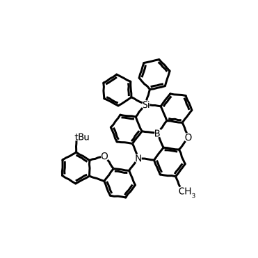 Cc1cc2c3c(c1)N(c1cccc4c1oc1c(C(C)(C)C)cccc14)c1cccc4c1B3c1c(cccc1[Si]4(c1ccccc1)c1ccccc1)O2